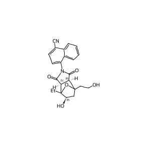 CCC12OC(CCO)(C[C@H]1O)[C@@H]1C(=O)N(c3ccc(C#N)c4ccccc34)C(=O)[C@@H]12